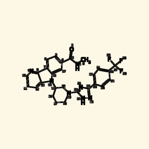 CNC(=O)c1ccc2c3ncccc3n(C3CCCN(c4nc(-c5ccc(C(F)(F)F)cc5)n[nH]4)C3)c2c1